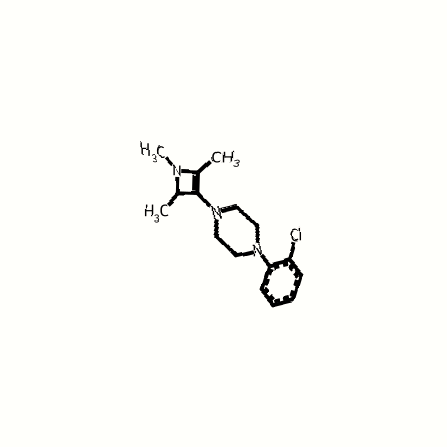 CC1=C(N2CCN(c3ccccc3Cl)CC2)C(C)N1C